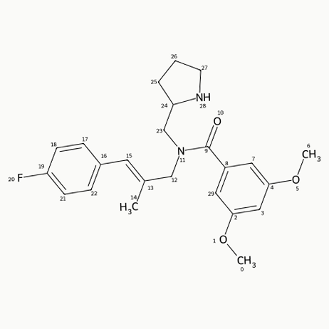 COc1cc(OC)cc(C(=O)N(CC(C)=Cc2ccc(F)cc2)CC2CCCN2)c1